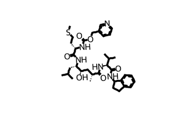 CSCC[C@H](NC(=O)OCc1cccnc1)C(=O)N[C@@H](CC(C)C)[C@@H](O)C[C@@H](C)C(=O)N[C@H](C(=O)NC1CCc2ccccc21)C(C)C